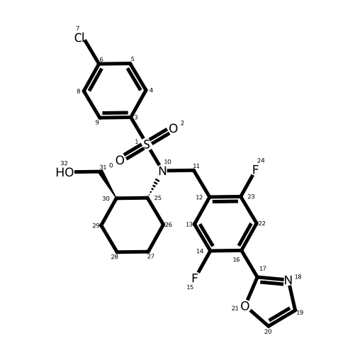 O=S(=O)(c1ccc(Cl)cc1)N(Cc1cc(F)c(-c2ncco2)cc1F)[C@@H]1CCCC[C@H]1CO